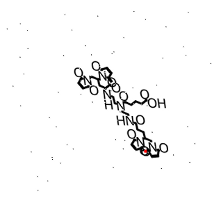 O=CC(CC(CN1C(=O)C=CC1=O)N1C(=O)C=CC1=O)NCCN(CCNC(=O)CCC(CN1C(=O)C=CC1=O)N1C(=O)C=CC1=O)C(=O)CCCC(=O)O